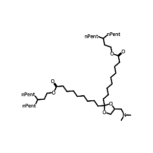 CCCCCC(CCCCC)CCOC(=O)CCCCCCCCC1(CCCCCCCCC(=O)OCCC(CCCCC)CCCCC)OCC(CN(C)C)O1